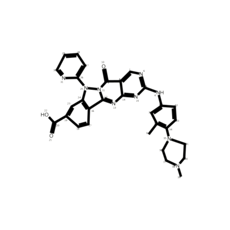 Cc1cc(Nc2ncc3c(=O)n4c(nc3n2)c2ccc(C(=O)O)cc2n4-c2ccccn2)ccc1N1CCN(C)CC1